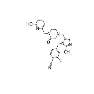 Cc1ncc(CN2CCN(Cc3cccc(O)n3)C(=O)C2)n1Cc1ccc(C#N)c(F)c1